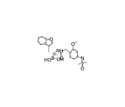 COc1cc(N=S(C)(C)=O)ccc1CC(=O)N[C@@H](Cc1coc2ccccc12)B(O)O